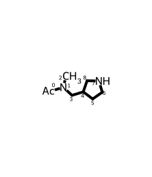 CC(=O)N(C)CC1CCNC1